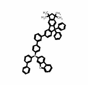 CC1(C)CC(C)(C)c2cc3c(cc21)-c1cc(-c2cccc(-c4ccc(N(c5cccc(-c6ccccc6)c5)c5ccc6c(c5)oc5ccccc56)cc4)c2)ccc1C3(c1ccccc1)c1ccccc1